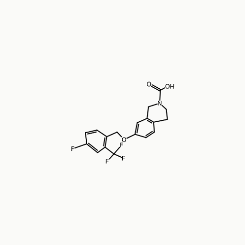 O=C(O)N1CCc2ccc(OCc3ccc(F)cc3C(F)(F)F)cc2C1